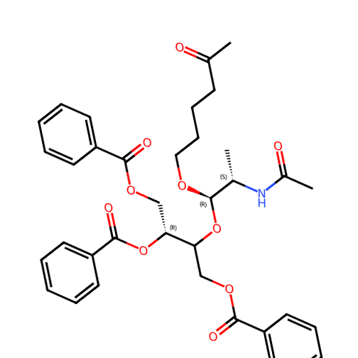 CC(=O)CCCCO[C@H](OC(COC(=O)c1ccccc1)[C@@H](COC(=O)c1ccccc1)OC(=O)c1ccccc1)[C@H](C)NC(C)=O